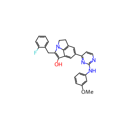 COc1cccc(Nc2nccc(-c3cc4c5c(c3)c(O)c(Cc3ccccc3F)n5CC4)n2)c1